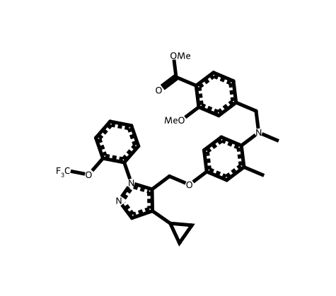 COC(=O)c1ccc(CN(C)c2ccc(OCc3c(C4CC4)cnn3-c3ccccc3OC(F)(F)F)cc2C)cc1OC